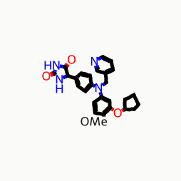 COc1ccc(N(Cc2cccnc2)c2ccc(C3NC(=O)NC3=O)cc2)cc1OC1CCCC1